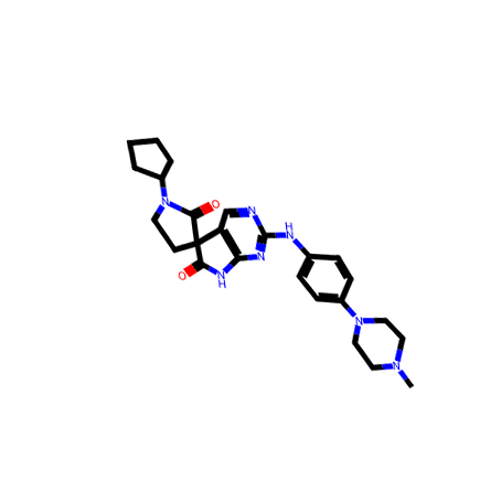 CN1CCN(c2ccc(Nc3ncc4c(n3)NC(=O)C43CCN(C4CCCC4)C3=O)cc2)CC1